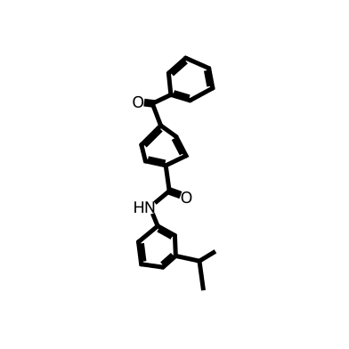 CC(C)c1cccc(NC(=O)c2ccc(C(=O)c3ccccc3)cc2)c1